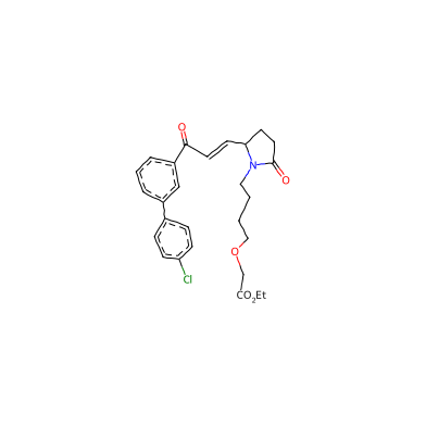 CCOC(=O)COCCCCN1C(=O)CCC1C=CC(=O)c1cccc(-c2ccc(Cl)cc2)c1